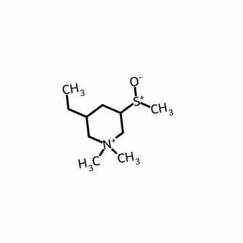 CCC1CC([S+](C)[O-])C[N+](C)(C)C1